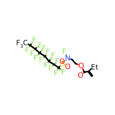 C=C(CC)C(=O)OCCN(F)S(=O)(=O)C(F)(F)C(F)(F)C(F)(F)C(F)(F)C(F)(F)C(F)(F)C(F)(F)C(F)(F)F